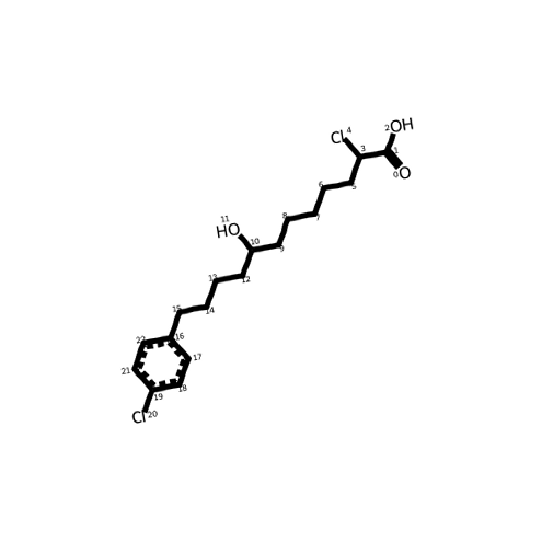 O=C(O)C(Cl)CCCCCC(O)CCCCc1ccc(Cl)cc1